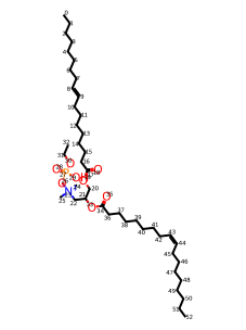 CCCCCCCCC=CCCCCCCCC(=O)OCC(C[N+](C)(C)OP(=O)(O)OCC)OC(=O)CCCCCCC/C=C\CCCCCCCC